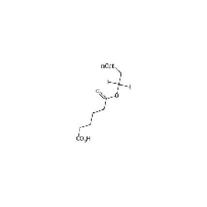 CCCCCCCCCC(I)(I)OC(=O)CCCCC(=O)O